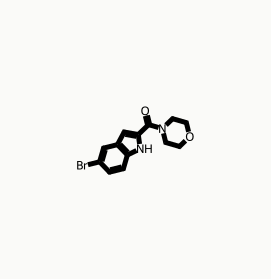 O=C(c1cc2cc(Br)ccc2[nH]1)N1CCOCC1